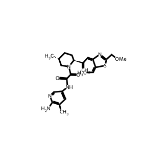 C=C(/C=c1/nc(COC)s/c1=C/C)[C@@H]1CC[C@@H](C)CN1C(=O)C(=O)Nc1cnc(N)c(C)c1